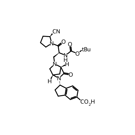 CC(C)(C)OC(=O)N[C@@H](CN1C[C@@H]2C[C@H]1C(=O)N2[C@H]1CCc2cc(C(=O)O)ccc21)C(=O)N1CCC[C@H]1C#N